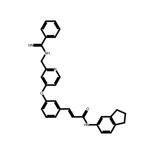 N=C(NCc1cc(Oc2cccc(/C=C/C(=O)Nc3ccc4c(c3)CCC4)c2)ccn1)c1ccccc1